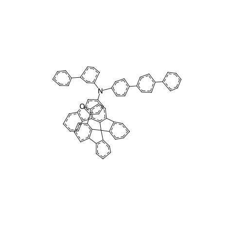 c1ccc(-c2ccc(-c3ccc(N(c4ccc(-c5cccc6c5C5(c7ccccc7-6)c6ccccc6-c6ccc7oc8ccccc8c7c65)cc4)c4cccc(-c5ccccc5)c4)cc3)cc2)cc1